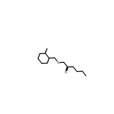 CCCCC(=O)COCC1CCCCC1C